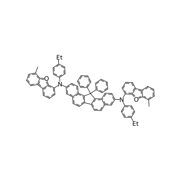 CCc1ccc(N(c2ccc3c4c(ccc3c2)-c2ccc3cc(N(c5ccc(CC)cc5)c5cccc6c5oc5c(C)cccc56)ccc3c2C4(c2ccccc2)c2ccccc2)c2cccc3c2oc2c(C)cccc23)cc1